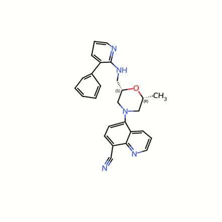 C[C@@H]1CN(c2ccc(C#N)c3ncccc23)C[C@H](CNc2ncccc2-c2ccccc2)O1